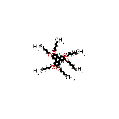 CCCCCCOc1cc2c3cc(OCCCCCC)c(OCCCCCC)cc3c3c(Cl)c(OCCCCCC)c(OCCCCCC)cc3c2cc1OCCCCCC